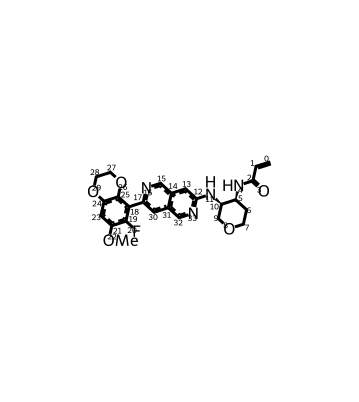 C=CC(=O)N[C@H]1CCOC[C@H]1Nc1cc2cnc(-c3c(F)c(OC)cc4c3OCCO4)cc2cn1